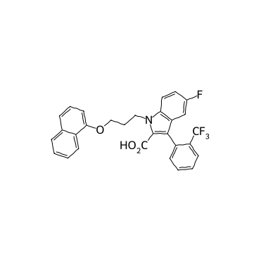 O=C(O)c1c(-c2ccccc2C(F)(F)F)c2cc(F)ccc2n1CCCOc1cccc2ccccc12